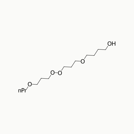 CCCOCCCOOCCCOCCCCO